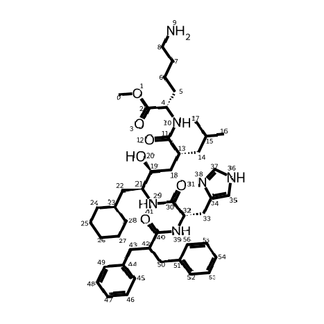 COC(=O)[C@H](CCCCN)NC(=O)[C@H](CC(C)C)C[C@H](O)[C@H](CC1CCCCC1)NC(=O)[C@H](Cc1c[nH]cn1)NC(=O)C(Cc1ccccc1)Cc1ccccc1